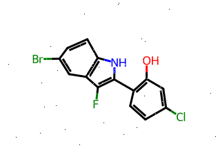 Oc1cc(Cl)ccc1-c1[nH]c2ccc(Br)cc2c1F